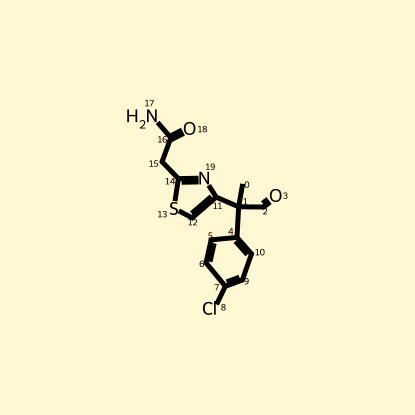 CC(C=O)(c1ccc(Cl)cc1)c1csc(CC(N)=O)n1